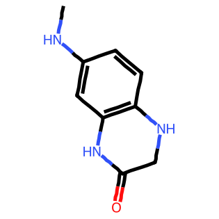 CNc1ccc2c(c1)NC(=O)CN2